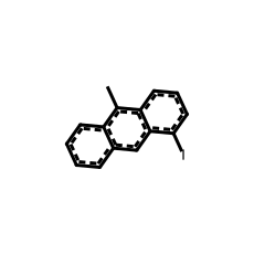 Cc1c2ccccc2cc2c(I)cccc12